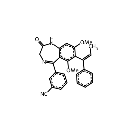 C/C=C(/c1ccccc1)c1c(OC)cc2c(c1OC)C(c1cccc(C#N)c1)=NCC(=O)N2